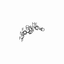 COc1nc(N[C@H]2CCN(C3COC3)C[C@@H]2F)nn2ccc(-c3cc(F)c4ncn(CC(F)F)c4c3)c12